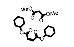 COC(=O)CC(=O)OC.O=C(/C=C\C(=O)OC1CCCCC1)OC1CCCCC1